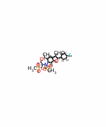 CC1OCC(CS(C)(=O)=O)N(S(C)(=O)=O)c2cc3oc(-c4ccc(F)cc4)c(C=O)c3cc21